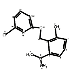 Cc1cccc(N(C)N)c1COc1nccc(Cl)n1